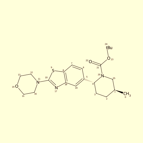 C[C@H]1CC[C@H](c2ccc3sc(N4CCOCC4)nc3c2)N(C(=O)OC(C)(C)C)C1